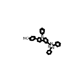 N#Cc1ccc(-c2ccc3c4cc(-c5nc(-c6ccccc6)nc(-c6ccccc6)n5)ccc4n(-c4ccccc4)c3c2)cc1